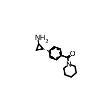 N[C@@H]1C[C@H]1c1ccc(C(=O)N2CCCCC2)cc1